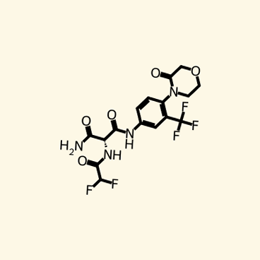 NC(=O)[C@@H](NC(=O)C(F)F)C(=O)Nc1ccc(N2CCOCC2=O)c(C(F)(F)F)c1